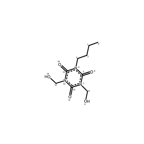 CCCCn1c(=O)n(CO)c(=O)n(CO)c1=O